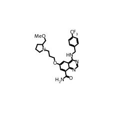 COCC1CCCN1CCCOc1cc(C(N)=O)c2ncnc(NCc3ccc(C(F)(F)F)cc3)c2c1